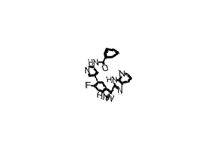 O=C(Nc1cncc(-c2cc3c(-c4nc5cccnc5[nH]4)n[nH]c3cc2F)c1)c1ccccc1